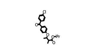 CC(C)OC(=O)C(C)C(C)Oc1ccc(C(=O)c2ccc(Cl)cc2)cc1